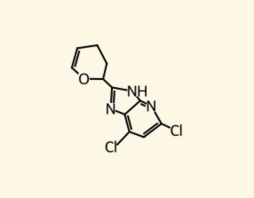 Clc1cc(Cl)c2nc(C3CCC=CO3)[nH]c2n1